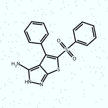 Nc1[nH]nc2sc(S(=O)(=O)c3ccccc3)c(-c3ccccc3)c12